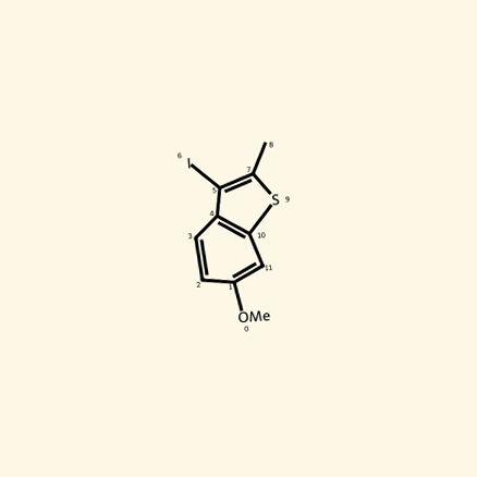 COc1ccc2c(I)c(C)sc2c1